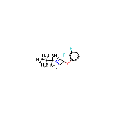 BC(B)(B)C(B)(B)N1CC(Oc2cccc(F)c2F)C1